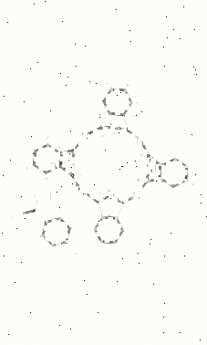 Cc1ccc(C(=O)O)cc1.c1ccc2c(c1)-c1nc-2nc2[nH]c(nc3nc(nc4[nH]c(n1)c1ccccc41)-c1ccccc1-3)c1ccccc21